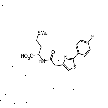 CSCC[C@H](NC(=O)Cc1csc(-c2ccc(F)cc2)n1)C(=O)O